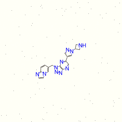 c1cn2cc(Cn3nnc4ncc(-c5cnn(C6CNC6)c5)nc43)ccc2n1